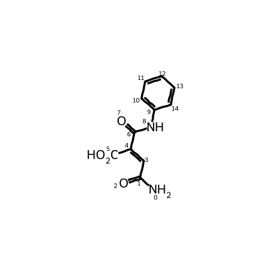 NC(=O)C=C(C(=O)O)C(=O)Nc1ccccc1